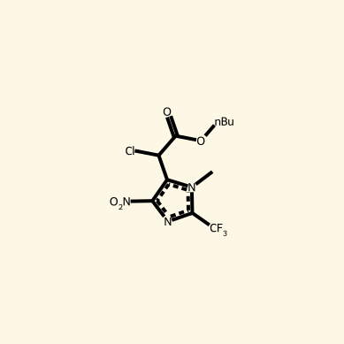 CCCCOC(=O)C(Cl)c1c([N+](=O)[O-])nc(C(F)(F)F)n1C